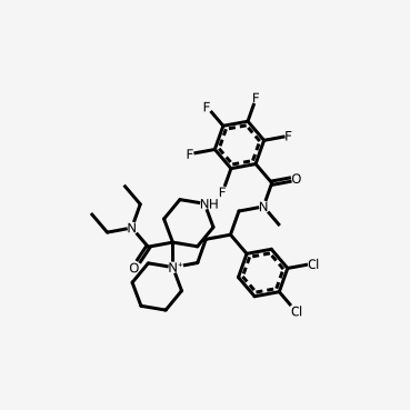 CCN(CC)C(=O)C1([N+]2(CCC(CN(C)C(=O)c3c(F)c(F)c(F)c(F)c3F)c3ccc(Cl)c(Cl)c3)CCCCC2)CCNCC1